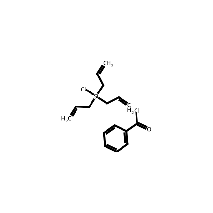 C=CC[Si](Cl)(CC=C)CC=C.O=C(Cl)c1ccccc1